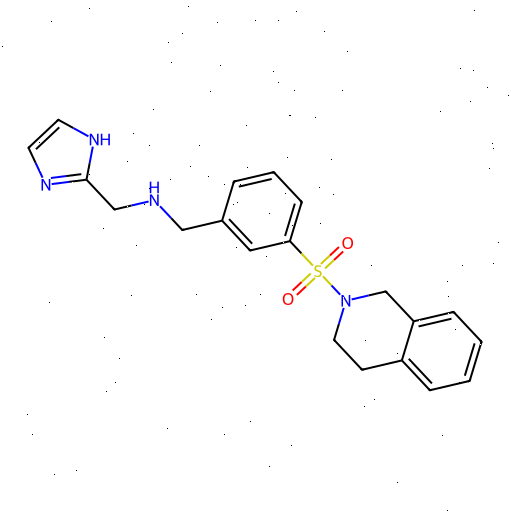 O=S(=O)(c1cccc(CNCc2ncc[nH]2)c1)N1CCc2ccccc2C1